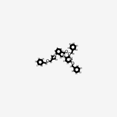 O=C1c2cccc(N3CC(COCc4ccccc4)C3)c2CN1c1ccc(OCc2ccccc2)nc1OCc1ccccc1